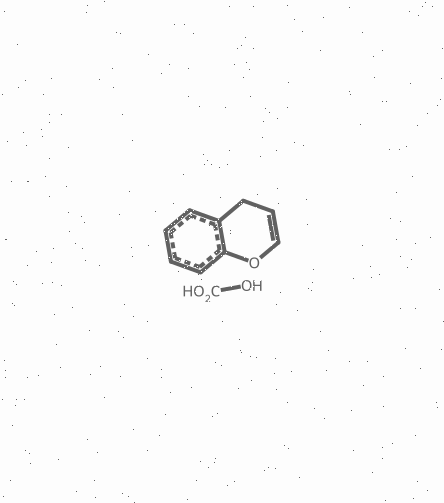 C1=COc2ccccc2C1.O=C(O)O